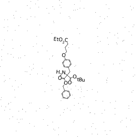 CCOC(=O)CCCOc1ccc(CC(N)(C(=O)OCc2ccccc2)C(=O)OC(C)(C)C)cc1